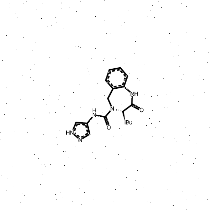 CC[C@H](C)[C@H]1C(=O)Nc2ccccc2CN1C(=O)Nc1cn[nH]c1